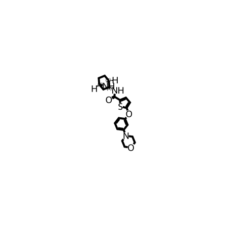 O=C(N[C@@H]1C[C@H]2CC[C@@H]1N2)c1ccc(Oc2cccc(N3CCOCC3)c2)s1